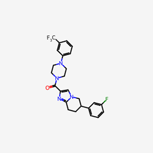 O=C(c1cn2c(n1)CCC(c1cccc(F)c1)C2)N1CCN(c2cccc(C(F)(F)F)c2)CC1